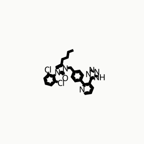 CCCCc1cn(-c2c(Cl)cccc2Cl)c(=O)n1Cc1ccc(-c2ncccc2-c2nnn[nH]2)cc1